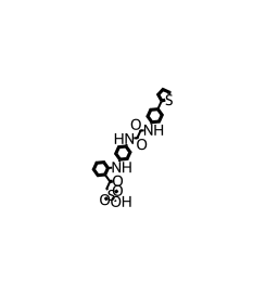 O=C(Nc1ccc(Nc2ccccc2C(=O)CS(=O)(=O)O)cc1)C(=O)Nc1ccc(-c2cccs2)cc1